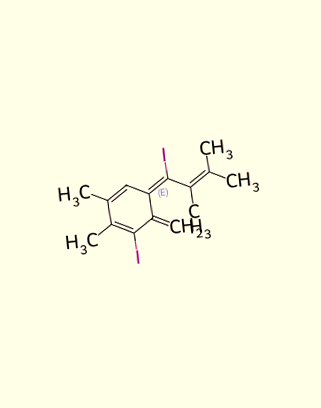 C=c1c(I)c(C)c(C)c/c1=C(\I)C(C)=C(C)C